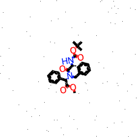 COC(=O)[C@H](c1ccccc1)N(Cc1ccccc1)C(=O)[C@@H](C)NC(=O)OC(C)(C)C